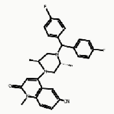 C[C@@H]1CN(c2cc(=O)n(C)c3ccc(C#N)cc23)[C@@H](C)CN1C(c1ccc(F)cc1)c1ccc(F)cc1